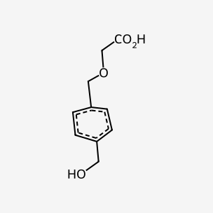 O=C(O)COCc1ccc(CO)cc1